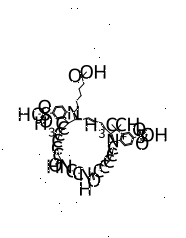 CC1(C)C2=[N+](CCCCCC(=O)NCCNC(=O)CCCCCC3(C)/C(=C/C=C/C=C/2)N(CCCCCC(=O)O)c2ccc(S(=O)(=O)O)cc23)c2ccc(S(=O)(=O)O)cc21